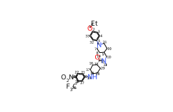 CCOc1ccc(N2CCC(CN(C)C(=O)[C@H]3CC[C@H](Nc4ccc([N+](=O)[O-])c(C(F)(F)F)c4)CC3)CC2)cc1